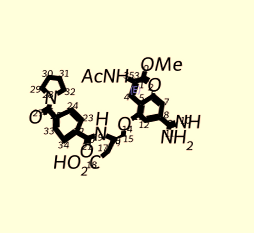 COC(=O)/C(=C\c1ccc(C(=N)N)cc1OC[C@@H](CC(=O)O)NC(=O)c1ccc(C(=O)N2CCCC2)cc1)NC(C)=O